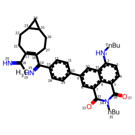 CCCCNc1ccc2c3c(cc(-c4ccc(C(=N)/C5=C(\C(C)=N)CCC6CC6CC5)cc4)cc13)C(=O)N(CCCC)C2=O